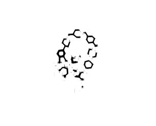 CCOC(=O)c1cnc(Nc2cnn(C)c2)nc1NC1CCC(N2CCN(C(=O)C3CCC(CN4CCC(CN5CCC(c6ccc7c(c6)C(=O)N(C6CCC(=O)NC6=O)C7=O)CC5)CC4)CC3)CC2)CC1